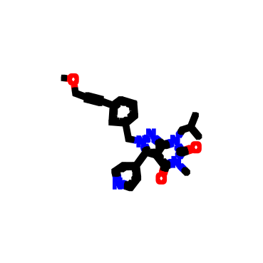 COCC#Cc1cccc(Cn2nc3c(c2-c2ccncc2)c(=O)n(C)c(=O)n3CC(C)C)c1